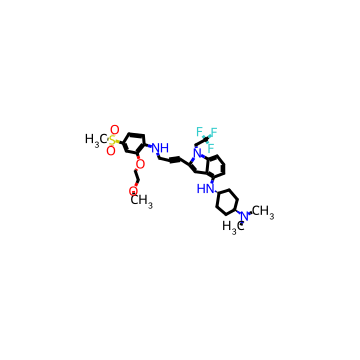 COCCOc1cc(S(C)(=O)=O)ccc1NCC#Cc1cc2c(N[C@H]3CC[C@H](N(C)C)CC3)cccc2n1CC(F)(F)F